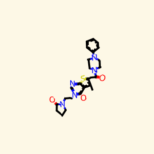 Cc1c(C(=O)N2CCN(c3ccccc3)CC2)sc2ncn(CCN3CCCC3=O)c(=O)c12